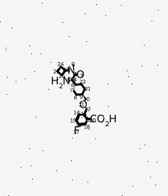 CN(C(=O)[C@@H](N)[C@H]1CC[C@H](COCc2ccc(F)cc2C(=O)O)CC1)C1CCC1